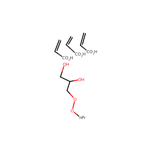 C=CC(=O)O.C=CC(=O)O.C=CC(=O)O.CCCOOCC(O)CO